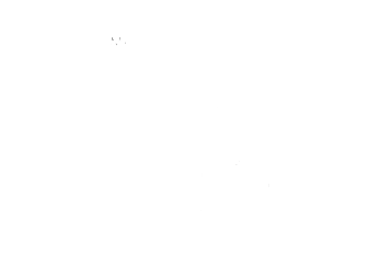 C=C(C)OC(=O)Cc1ccc(OC)cc1